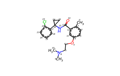 Cc1ccc(OCCN(C)C)cc1C(=O)NC1(c2ccccc2Cl)CC1